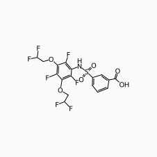 O=C(O)c1cccc(S(=O)(=O)Nc2c(F)c(OCC(F)F)c(F)c(OCC(F)F)c2F)c1